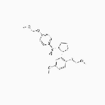 COCOc1ccc(C(=O)[C@@H]2CCC[C@@H]2c2cc(OC)ccc2OCOC)cc1